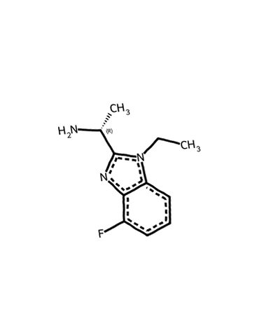 CCn1c([C@@H](C)N)nc2c(F)cccc21